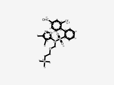 Cc1noc(N(COCC[Si](C)(C)C)S(=O)(=O)c2ccccc2-c2ccc(C=O)cc2C(F)(F)F)c1C